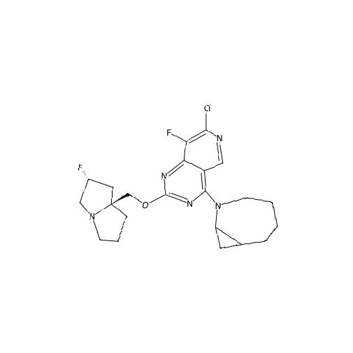 Fc1c(Cl)ncc2c(N3CCCCC4CC43)nc(OC[C@@]34CCCN3C[C@H](F)C4)nc12